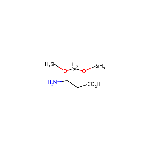 NCCC(=O)O.[SiH3]O[SiH2]O[SiH3]